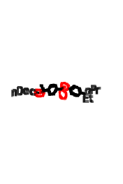 CCCCCCCCCCOC(C)c1ccc(C(=O)Oc2ccc(C(CC)CCC)cc2)cc1